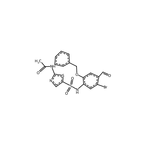 CC(=O)Nc1ncc(S(=O)(=O)Nc2cc(Br)c(C=O)cc2OCc2ccccc2)s1